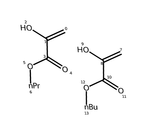 C=C(O)C(=O)OCCC.C=C(O)C(=O)OCCCC